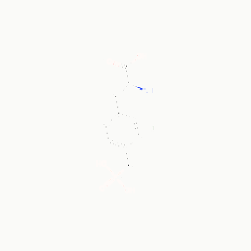 Cl.N[C@@H](Cc1ccc(CP(=O)(O)O)cc1)C(=O)O